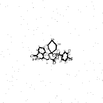 C[C@H](c1c[nH]c(=O)c2ccccc12)N(CC1(O)CCCCC1)C(=O)Nc1ccc(F)c(Cl)c1